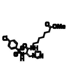 COC(=O)CCCCCCNC(=O)C(Cn1ccnc1)NS(=O)(=O)c1ccc(Cl)cc1